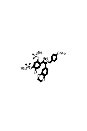 CCc1cc(-c2nnn(Cc3ccc(OC)cc3)c2-c2ccc3c(c2)OCCO3)c(O[Si](C)(C)C(C)(C)C)cc1O[Si](C)(C)C(C)(C)C